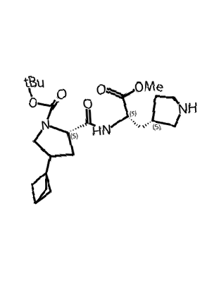 COC(=O)[C@H](C[C@@H]1CCNC1)NC(=O)[C@@H]1CC(C23CC(C2)C3)CN1C(=O)OC(C)(C)C